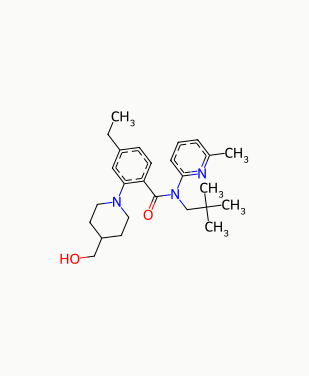 CCc1ccc(C(=O)N(CC(C)(C)C)c2cccc(C)n2)c(N2CCC(CO)CC2)c1